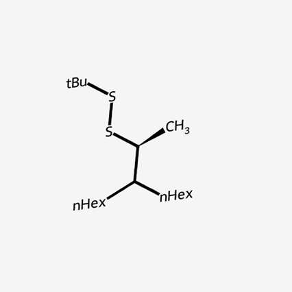 CCCCCCC(CCCCCC)[C@H](C)SSC(C)(C)C